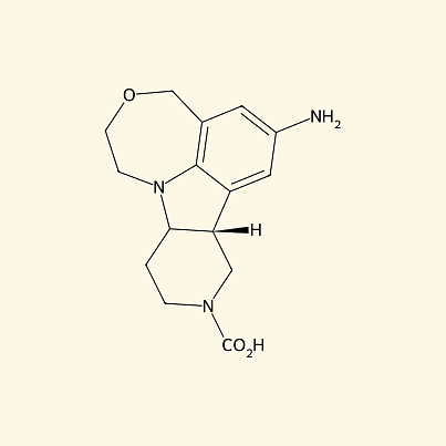 Nc1cc2c3c(c1)[C@@H]1CN(C(=O)O)CCC1N3CCOC2